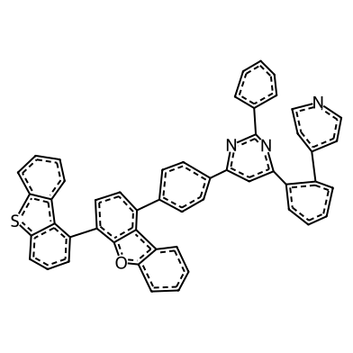 c1ccc(-c2nc(-c3ccc(-c4ccc(-c5cccc6sc7ccccc7c56)c5oc6ccccc6c45)cc3)cc(-c3ccccc3-c3ccncc3)n2)cc1